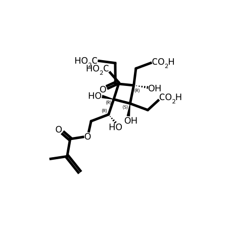 C=C(C)C(=O)OC[C@@H](O)[C@](O)(CC(=O)O)[C@@](O)(CC(=O)O)[C@](O)(CC(=O)O)C(=O)CC(=O)O